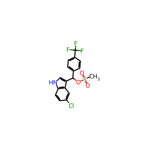 CS(=O)(=O)OC(c1ccc(C(F)(F)F)cc1)c1c[nH]c2ccc(Cl)cc12